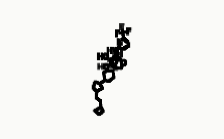 O[C@@H]1[C@@H](Nc2cccc(C(F)(F)F)n2)[C@H]2OC[C@](C3CCC(C4CCC(CCC5CCC5)C4)CC3)(O2)[C@@H]1O